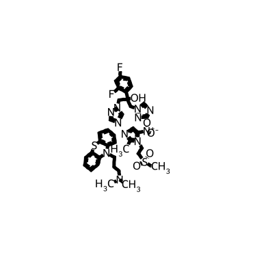 CCS(=O)(=O)CCn1c([N+](=O)[O-])cnc1C.CN(C)CCCN1c2ccccc2Sc2ccccc21.OC(Cn1cncn1)(Cn1cncn1)c1ccc(F)cc1F